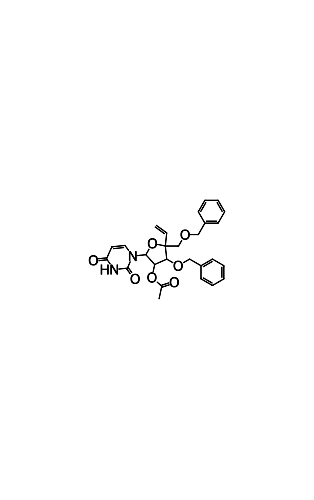 C=CC1(COCc2ccccc2)OC(n2ccc(=O)[nH]c2=O)C(OC(C)=O)C1OCc1ccccc1